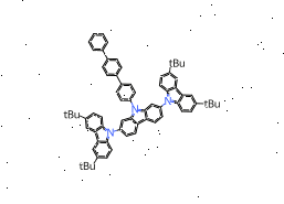 CC(C)(C)c1ccc2c(c1)c1cc(C(C)(C)C)ccc1n2-c1ccc2c3ccc(-n4c5ccc(C(C)(C)C)cc5c5cc(C(C)(C)C)ccc54)cc3n(-c3ccc(-c4ccc(-c5ccccc5)cc4)cc3)c2c1